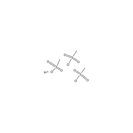 CS(=O)(=O)[O-].CS(=O)(=O)[O-].CS(=O)(=O)[O-].[In+3]